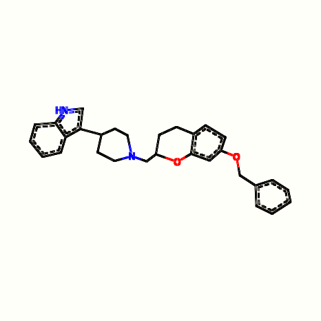 c1ccc(COc2ccc3c(c2)OC(CN2CCC(c4c[nH]c5ccccc45)CC2)CC3)cc1